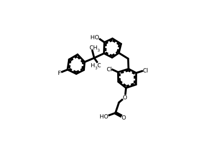 CC(C)(c1ccc(F)cc1)c1cc(Cc2c(Cl)cc(OCC(=O)O)cc2Cl)ccc1O